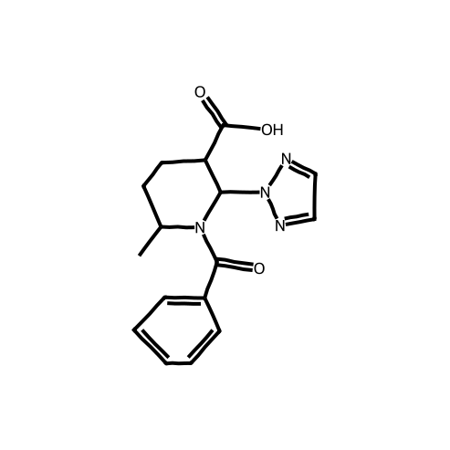 CC1CCC(C(=O)O)C(n2nccn2)N1C(=O)c1ccccc1